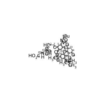 C#CCOc1cc(-n2nc(C(C)(C)C)oc2=O)c(Cl)cc1Cl.CS(=O)(=O)c1ccc(C(=O)C2C(=O)CCCC2=O)c([N+](=O)[O-])c1.C[S+](C)C.O=C(O)CNCP(=O)([O-])O